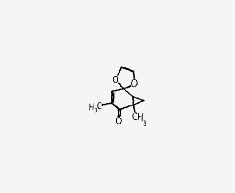 CC1=CC2(OCCO2)C2CC2(C)C1=O